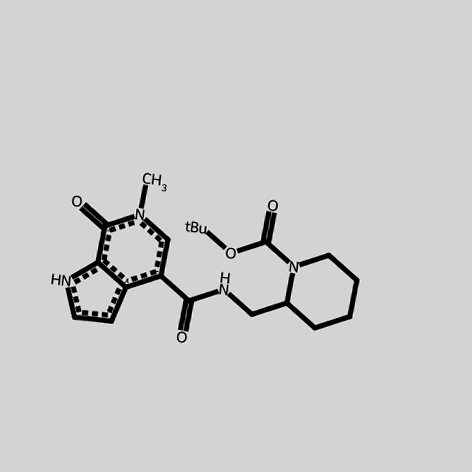 Cn1cc(C(=O)NCC2CCCCN2C(=O)OC(C)(C)C)c2cc[nH]c2c1=O